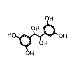 Oc1cc(O)cc(C(O)C(O)c2cc(O)cc(O)c2)c1